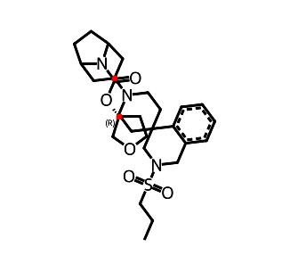 CCCS(=O)(=O)N1Cc2ccccc2C2(CCN(C3CC4CCC(C3)N4C(=O)O[C@@H]3CCOC3)CC2)C1